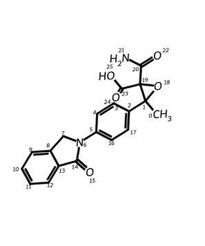 CC1(c2ccc(N3Cc4ccccc4C3=O)cc2)OC1(C(N)=O)C(=O)O